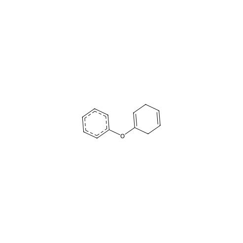 C1=CCC(Oc2ccccc2)=CC1